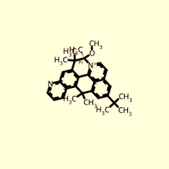 CO[C@@]1(C)[n+]2ccc3cc(C(C)(C)C)cc4c3c2-c2c(cc3ncccc3c2C4(C)C)C1(C)C